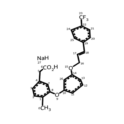 Cc1ccc(CC(=O)O)cc1Oc1cccc(OCC=Cc2ccc(C(F)(F)F)cc2)c1.[NaH]